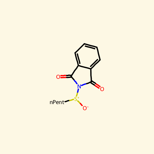 CCCCC[S+]([O-])N1C(=O)c2ccccc2C1=O